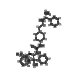 CC(C)C[C@@H](NC(=O)NC1CCC(CCN[C@H](C)c2ccccc2)CC1)C(O)(c1ccccc1)c1ccccc1